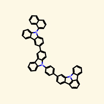 c1ccc2c(-n3c4ccccc4c4cc(-c5ccc6c(c5)c5ccccc5n6-c5ccc(-c6ccc7c8cccc9c%10ccccc%10n(c7c6)c98)cc5)ccc43)cccc2c1